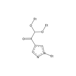 CCOC(OCC)C(=O)c1cnn(CC)c1